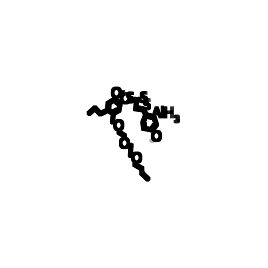 CCCCOCCOCCOCc1cc2c(cc1CCC)OCO2.COc1ccc(-c2cc(=S)ss2)cc1.[AlH3]